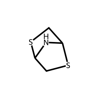 C1SC2CSC1N2